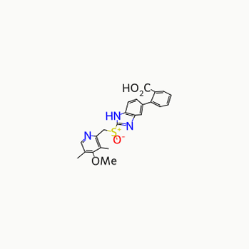 COc1c(C)cnc(C[S+]([O-])c2nc3cc(-c4ccccc4C(=O)O)ccc3[nH]2)c1C